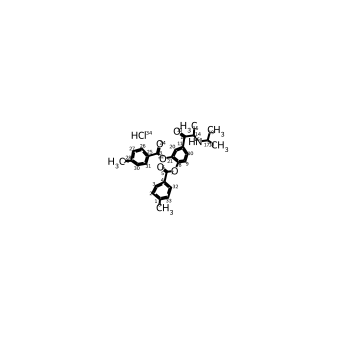 Cc1ccc(C(=O)Oc2ccc(C(=O)C(C)NC(C)C)cc2OC(=O)c2ccc(C)cc2)cc1.Cl